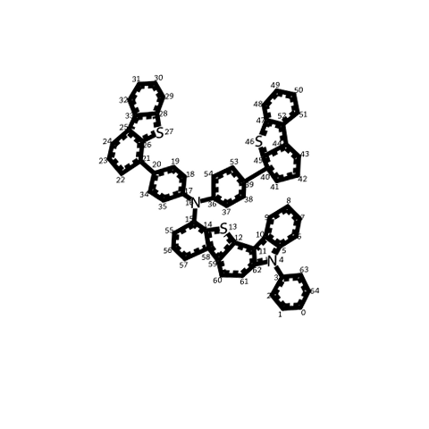 c1ccc(-n2c3ccccc3c3c4sc5c(N(c6ccc(-c7cccc8c7sc7ccccc78)cc6)c6ccc(-c7cccc8c7sc7ccccc78)cc6)cccc5c4ccc32)cc1